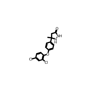 CC1(c2ccc(Oc3ccc(Cl)cc3Cl)cc2)CC(=O)NN1